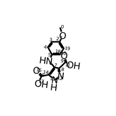 COc1ccc(Nc2c(C(=O)O)n[nH]c2C(=O)O)cc1